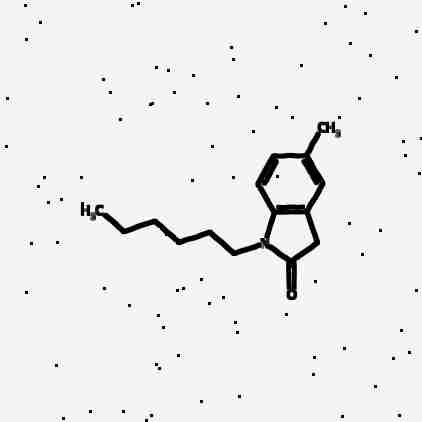 CCCCCCN1C(=O)Cc2cc(C)ccc21